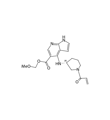 C=CC(=O)N1CCC[C@@H](Nc2c(C(=O)OCOC)cnc3[nH]ccc23)C1